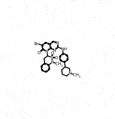 CN1CCCC(c2ccc(Nc3ncc4cc(Br)c(=O)n(C5Cc6ccccc6N(C)S5(=O)=O)c4n3)cc2)C1